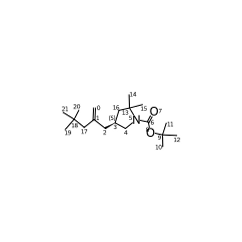 C=C(C[C@@H]1CN(C(=O)OC(C)(C)C)C(C)(C)C1)CC(C)(C)C